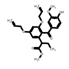 C=CCOc1cc(OCC=C)c(C(=O)c2ccc(O)c(OC)c2)c(C(CC)C(=O)OC)c1